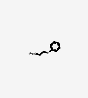 CCCCC[CH]COc1ccccc1